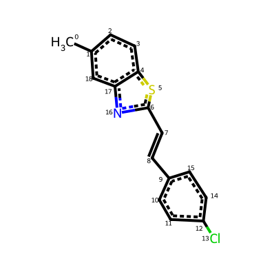 Cc1ccc2sc(C=Cc3ccc(Cl)cc3)nc2c1